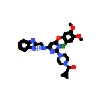 COc1cc(Cl)c(Oc2cc(NCc3nc4ccccc4[nH]3)nc(N3CCN(C(=O)C4CC4)CC3)n2)cc1OC